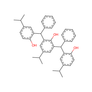 CC(C)c1ccc(O)c(C(c2ccccc2)c2cc(C(C)C)cc(C(c3ccccc3)c3cc(C(C)C)ccc3O)c2O)c1